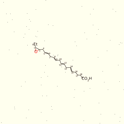 CCC1OC1CC=CCC=CCC=CCC=CCCCC(=O)O